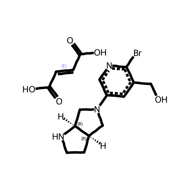 O=C(O)/C=C/C(=O)O.OCc1cc(N2C[C@H]3CCN[C@H]3C2)cnc1Br